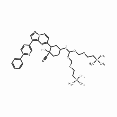 C[Si](C)(C)CCOCOC(NC1CCC(O)(C#N)C(c2ccn3ncc(-c4ccc(-c5ccccc5)nc4)c3n2)C1)OCOCC[Si](C)(C)C